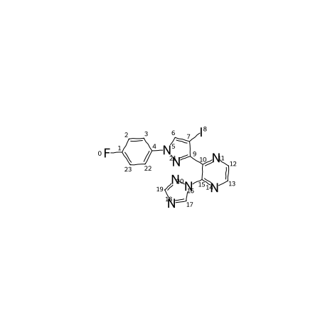 Fc1ccc(-n2cc(I)c(-c3nccnc3-n3cncn3)n2)cc1